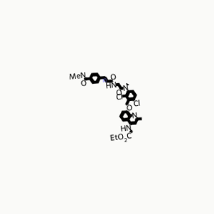 CCOC(=O)CNc1cc(C)nc2c(OCc3c(Cl)ccc(N(C)C(=O)CNC(=O)/C=C/c4ccc(C(=O)NC)cc4)c3Cl)cccc12